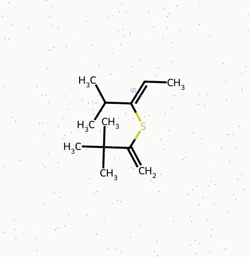 C=C(S/C(=C\C)C(C)C)C(C)(C)C